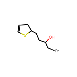 CC(C)CC(O)CCC1CC=CS1